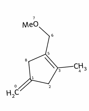 C=C1CC(C)=C(COC)C1